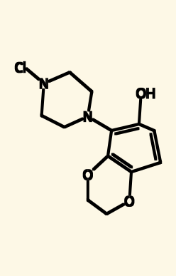 Oc1ccc2c(c1N1CCN(Cl)CC1)OCCO2